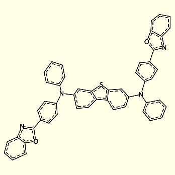 c1ccc(N(c2ccc(-c3nc4ccccc4o3)cc2)c2ccc3c(c2)sc2cc(N(c4ccccc4)c4ccc(-c5nc6ccccc6o5)cc4)ccc23)cc1